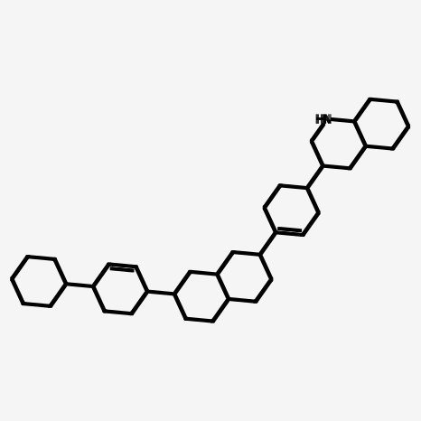 C1=CC(C2CCC3CCC(C4=CCC(C5CNC6CCCCC6C5)CC4)CC3C2)CCC1C1CCCCC1